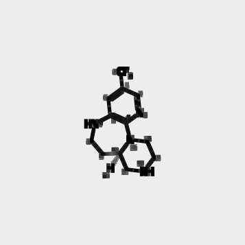 FC(F)(F)c1cnc2c(c1)NCC[C@@H]1CNCCN21